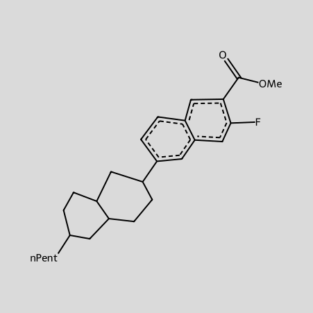 CCCCCC1CCC2CC(c3ccc4cc(C(=O)OC)c(F)cc4c3)CCC2C1